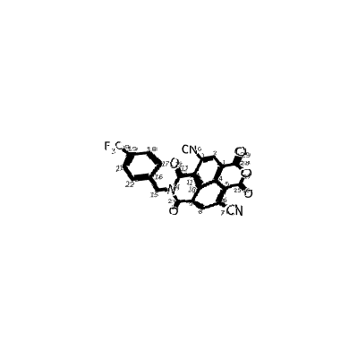 [C-]#[N+]c1cc2c3c(c(C#N)cc4c3c1C(=O)N(Cc1ccc(C(F)(F)F)cc1)C4=O)C(=O)OC2=O